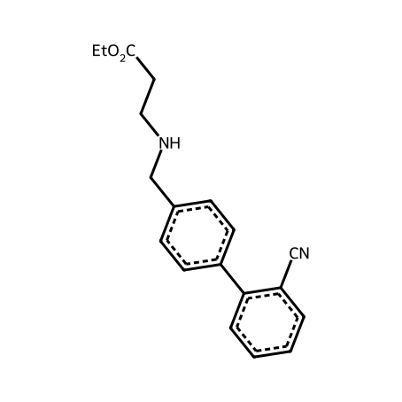 CCOC(=O)CCNCc1ccc(-c2ccccc2C#N)cc1